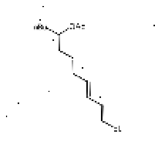 CCC=CC=CCCCC(CCCC)OC(C)=O